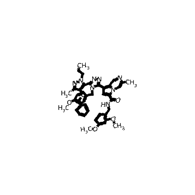 CCCn1nc(C)c(OCc2ccccc2)c1-c1nnc(-c2cc(C(=O)NCc3ccc(OC)cc3OC)n3cc(C)ncc23)n1Cc1ccc(OC)cc1